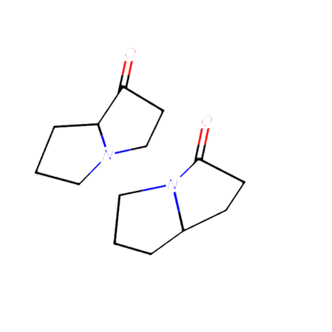 O=C1CCC2CCCN12.O=C1CCN2CCCC12